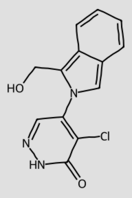 O=c1[nH]ncc(-n2cc3ccccc3c2CO)c1Cl